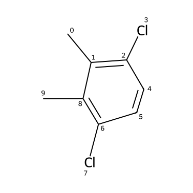 Cc1c(Cl)ccc(Cl)c1C